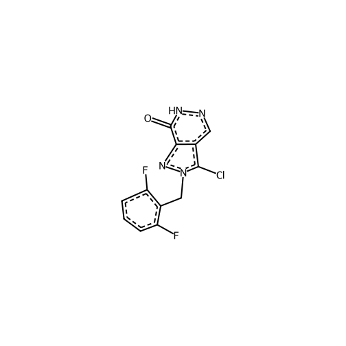 O=c1[nH]ncc2c(Cl)n(Cc3c(F)cccc3F)nc12